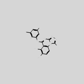 CCc1nnc2nc(Nc3cc(F)cc(I)c3)c3c(F)c(F)ccc3n12